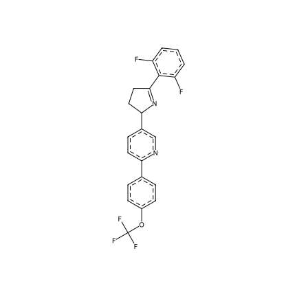 Fc1cccc(F)c1C1=NC(c2ccc(-c3ccc(OC(F)(F)F)cc3)nc2)CC1